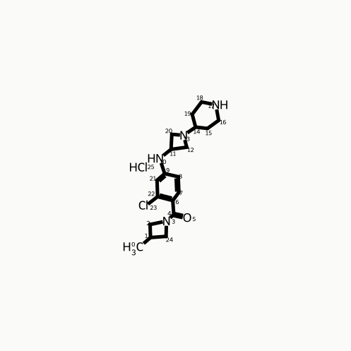 CC1CN(C(=O)c2ccc(NC3CN(C4CCNCC4)C3)cc2Cl)C1.Cl